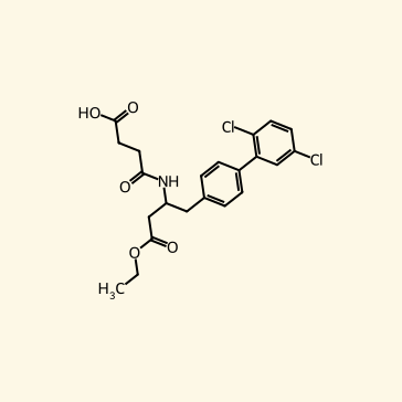 CCOC(=O)CC(Cc1ccc(-c2cc(Cl)ccc2Cl)cc1)NC(=O)CCC(=O)O